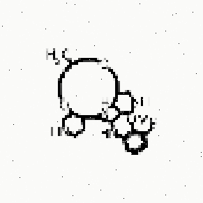 COc1c(F)cccc1NC1C2CNCC3CCOCCC(C)CCCOC4CNCCC4C1NC32